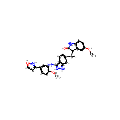 COc1ccc2c(c1)[C@]1(C[C@H]1c1ccc3c(Nc4cc(-c5ccon5)ccc4OC)n[nH]c3c1)C(=O)N2